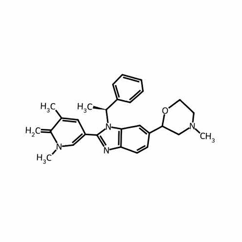 C=C1C(C)=CC(c2nc3ccc(C4CN(C)CCO4)cc3n2[C@@H](C)c2ccccc2)=CN1C